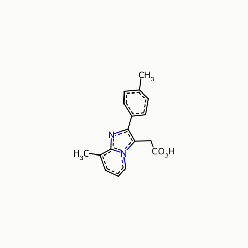 Cc1ccc(-c2nc3c(C)cccn3c2CC(=O)O)cc1